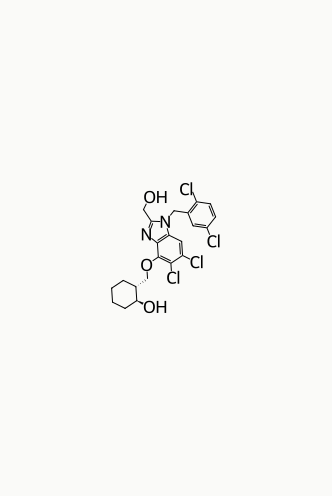 OCc1nc2c(OC[C@H]3CCCC[C@@H]3O)c(Cl)c(Cl)cc2n1Cc1cc(Cl)ccc1Cl